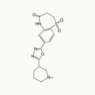 CN1CCCC(c2nnc(-c3ccc4c(c3)NC(=O)CCS4(=O)=O)o2)C1